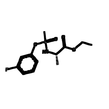 CCOC(=O)[C@H](C)NP(C)(=O)Oc1cccc(F)c1